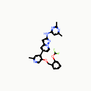 Cc1cc(-c2ccn3nc(Nc4cc(C)nc(C)n4)cc3c2)c(OCc2ccccc2OC(F)F)cn1